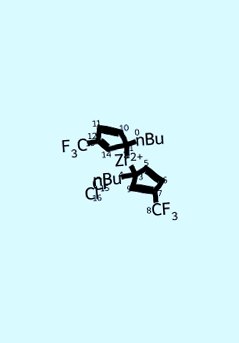 CCCC[C]1([Zr+2][C]2(CCCC)C=CC(C(F)(F)F)=C2)C=CC(C(F)(F)F)=C1.[Cl-].[Cl-]